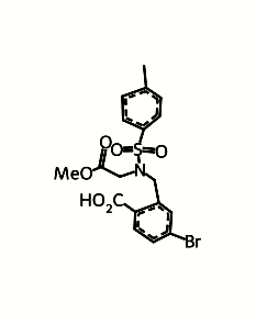 COC(=O)CN(Cc1cc(Br)ccc1C(=O)O)S(=O)(=O)c1ccc(C)cc1